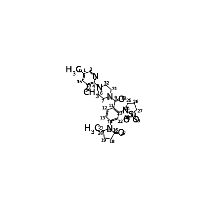 Cc1cnc(N2CCN(C(=O)c3ccc(N4C(=O)CCC4C)cc3N3CCCS3(=O)=O)CC2)c(C)c1